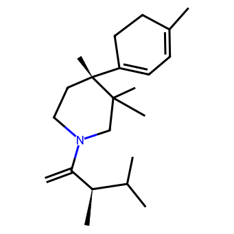 C=C([C@H](C)C(C)C)N1CC[C@](C)(C2=CC=C(C)CC2)C(C)(C)C1